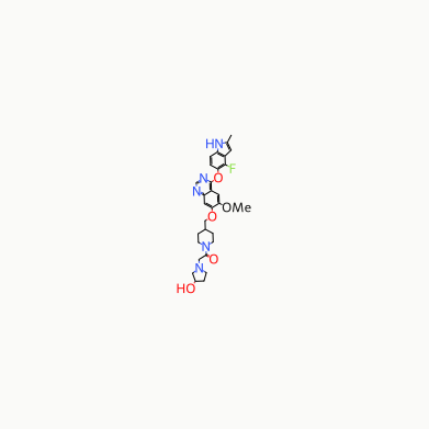 COc1cc2c(Oc3ccc4[nH]c(C)cc4c3F)ncnc2cc1OCC1CCN(C(=O)CN2CCC(O)C2)CC1